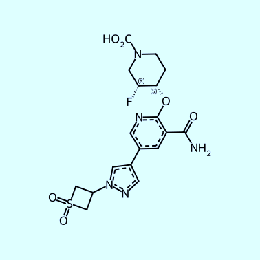 NC(=O)c1cc(-c2cnn(C3CS(=O)(=O)C3)c2)cnc1O[C@H]1CCN(C(=O)O)C[C@H]1F